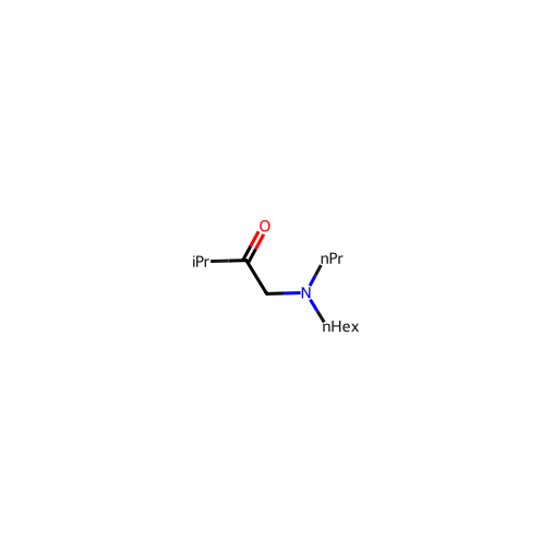 CCCCCCN(CCC)CC(=O)C(C)C